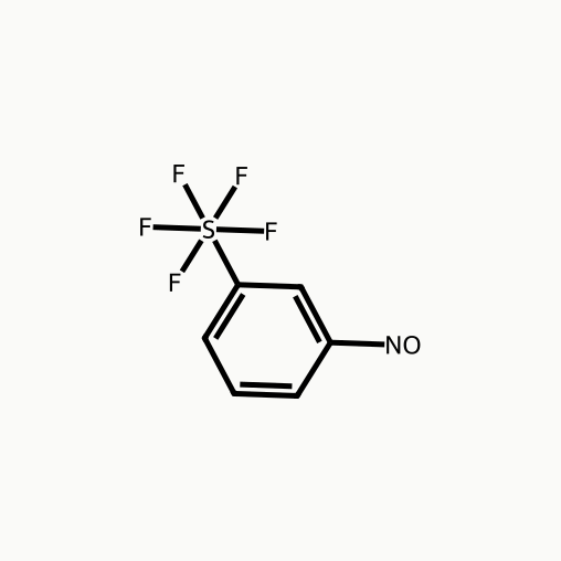 O=Nc1cccc(S(F)(F)(F)(F)F)c1